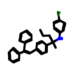 CCCC(C)(Nc1ccc(Br)cc1)c1ccc(C=C(c2ccccc2)c2ccccc2)cc1